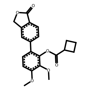 COc1ccc(-c2ccc3c(c2)COC3=O)c(OC(=O)C2CCC2)c1OC